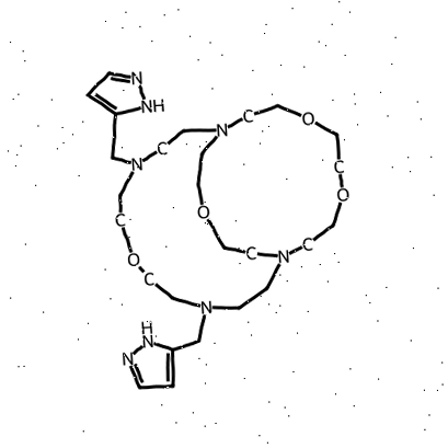 c1cc(CN2CCOCCN(Cc3ccn[nH]3)CCN3CCOCCOCCN(CCOCC3)CC2)[nH]n1